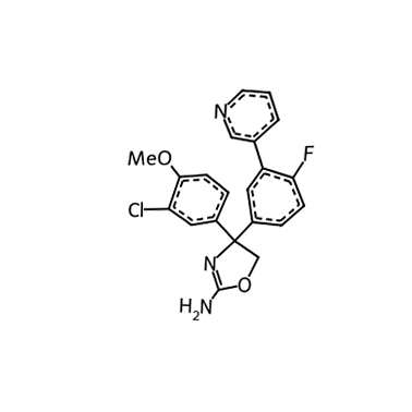 COc1ccc(C2(c3ccc(F)c(-c4cccnc4)c3)COC(N)=N2)cc1Cl